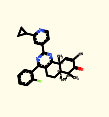 CCC[C@@]1(C)C(=O)C(C#N)=C[C@@]2(C)c3nc(-c4ccnc(C5CC5)c4)nc(-c4ccccc4F)c3CC[C@H]12